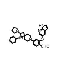 CC(C)c1ccccc1[C@@H]1CCCN1C1CC2(CCN(c3ccc(C=O)c(Oc4cnc5[nH]ccc5c4)c3)CC2)C1